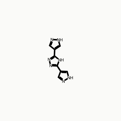 c1n[nH]cc1-c1nnc(-c2cn[nH]c2)[nH]1